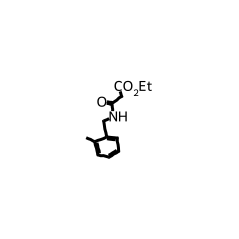 CCOC(=O)CC(=O)NCc1ccccc1C